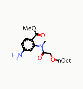 CCCCCCCCOCC(=O)N(C)c1cc(N)ccc1C(=O)OC